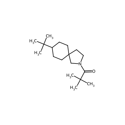 CC(C)(C)C(=O)N1CCC2(CCC(C(C)(C)C)CC2)C1